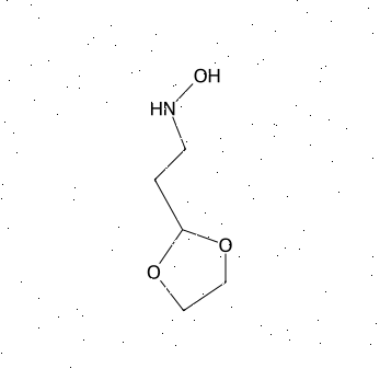 ONCCC1OCCO1